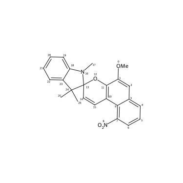 COc1cc2cccc([N+](=O)[O-])c2c2c1OC1(C=C2)N(C)c2ccccc2C1(C)C